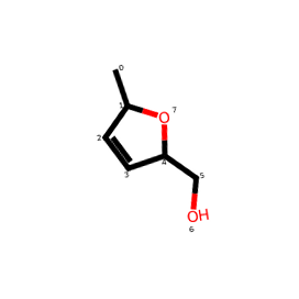 CC1C=CC(CO)O1